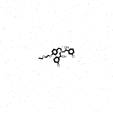 CCOCCOc1ccc(C[C@H](C)N(C[C@@H](O)c2cccc(Cl)c2)C[C@@H](O)c2cccc(Cl)c2)cc1